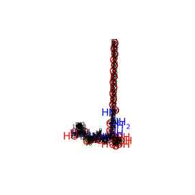 CC[C@H](C)[C@H](NC(=O)[C@H]1CCCC[N+]1(C)Cc1ccc(O[C@@H]2O[C@H](C(=O)O)[C@@H](O)[C@H](O)[C@H]2O)c(NC(=O)CCNC(=O)[C@@H](N)CCCCNC(=O)CCOCCOCCOCCOCCOCCOCCOCCOCCOCCOCCOCCOC)c1)C(=O)N(C)[C@H](C[C@@H](OC(C)=O)c1nc(C(=O)N[C@@H](Cc2ccccc2)C[C@H](C)C(=O)O)cs1)C(C)C